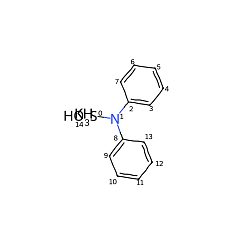 O=S(=O)(O)N(c1ccccc1)c1ccccc1.[KH]